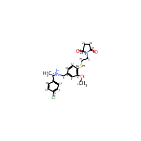 COc1cc(CN[C@@H](C)c2ccc(Cl)cc2)ccc1SCCN1C(=O)CCC1=O